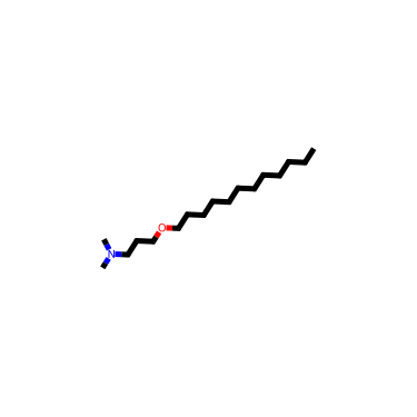 CCCCCCCCCCCCOCCCN(C)C